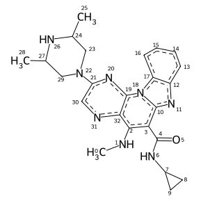 CNc1c(C(=O)NC2CC2)c2nc3ccccc3n2c2nc(N3CC(C)NC(C)C3)cnc12